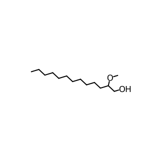 CCCCCCCCCCCC(CO)OC